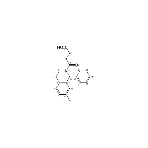 O=C(O)CCC(=O)N1CCc2ccc(F)cc2C1c1ccccc1